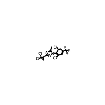 Cc1nc(C2CC2(Cl)Cl)nn1-c1c(Cl)cc(C(F)(F)F)cc1Cl